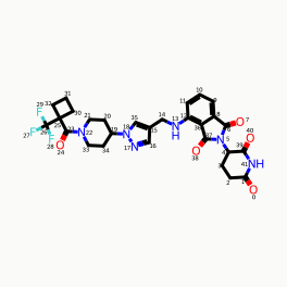 O=C1CCC(N2C(=O)c3cccc(NCc4cnn(C5CCN(C(=O)C6(C(F)(F)F)CCC6)CC5)c4)c3C2=O)C(=O)N1